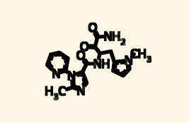 Cc1ncc(C(=O)NC(Cc2cccn2C)C(=O)C(N)=O)n1-c1ccccn1